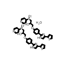 CCN(CC(O)COc1ccc(-c2nc(-c3cccs3)c[nH]2)cc1)c1ccncc1.CCN(CC(O)COc1ccc(-c2nc(-c3cccs3)c[nH]2)cc1)c1ccncc1.O